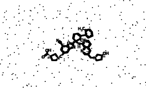 Cc1ccccc1C1=CC=CC(Nc2nccc3cc(CN4CC[C@@H](O)C4)cnc23)(c2nc3cc(CN4CC[C@H](C(=O)O)C4)cc(C#N)c3o2)C1C